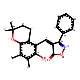 Cc1c(C)c2c(c(/C=C3\C(=O)ON=C3c3ccccc3)c1O)CCC(C)(C)O2